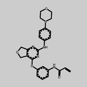 C=CC(=O)Nc1cccc(Oc2nc(Nc3ccc(N4CCOCC4)cc3)nc3c2COC3)c1